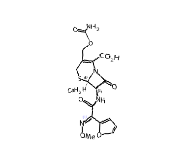 CO/N=C(/C(=O)N[C@@H]1C(=O)N2C(C(=O)O)=C(COC(N)=O)CS[C@H]12)c1ccco1.[CaH2]